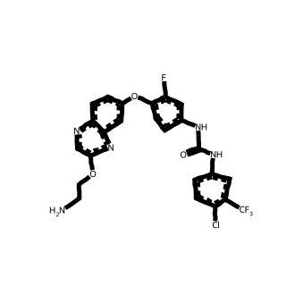 NCCOc1cnc2ccc(Oc3ccc(NC(=O)Nc4ccc(Cl)c(C(F)(F)F)c4)cc3F)cc2n1